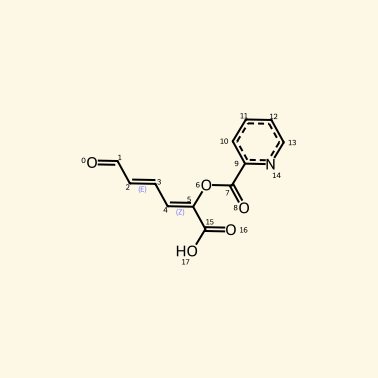 O=C/C=C/C=C(\OC(=O)c1ccccn1)C(=O)O